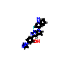 Oc1cc(-n2ccnn2)ccc1-c1cc2ccn([C@H]3CC4(CCCC4)NC[C@H]3F)c2nn1